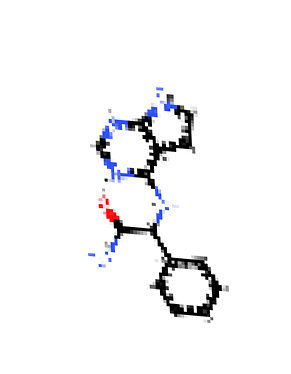 NC(=O)C(Nc1ncnc2[nH]ccc12)c1ccccc1